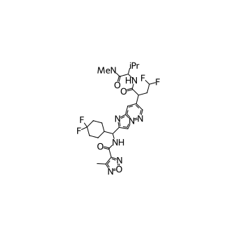 CNC(=O)C(NC(=O)C(CC(F)F)c1cnn2cc(C(NC(=O)c3nonc3C)C3CCC(F)(F)CC3)nc2c1)C(C)C